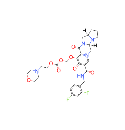 O=C(OCCN1CCOCC1)OCOc1c2n(cc(C(=O)NCc3ccc(F)cc3F)c1=O)C[C@@H]1N(C[C@H]3CCCN31)C2=O